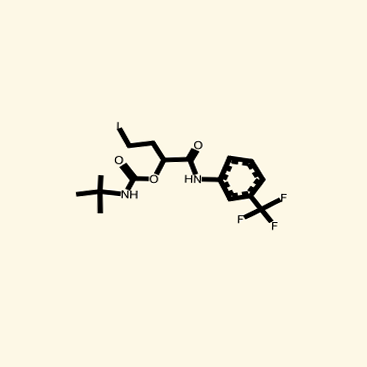 CC(C)(C)NC(=O)OC(CCI)C(=O)Nc1cccc(C(F)(F)F)c1